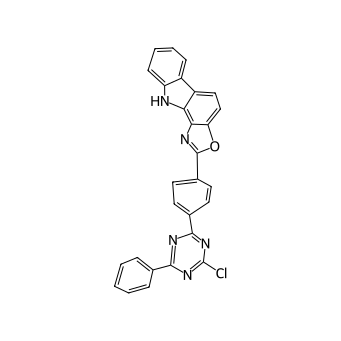 Clc1nc(-c2ccccc2)nc(-c2ccc(-c3nc4c(ccc5c6ccccc6[nH]c54)o3)cc2)n1